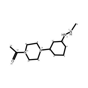 CNNC1CCCC(N2CCN(C(C)=O)CC2)C1